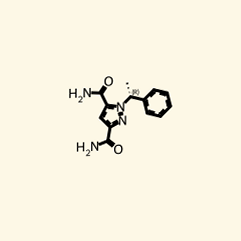 C[C@H](c1ccccc1)n1nc(C(N)=O)cc1C(N)=O